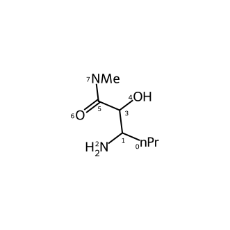 CCCC(N)C(O)C(=O)NC